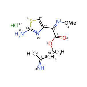 CC(C)=N.CON=C(C(=O)OS(=O)(=O)O)c1csc(N)n1.Cl